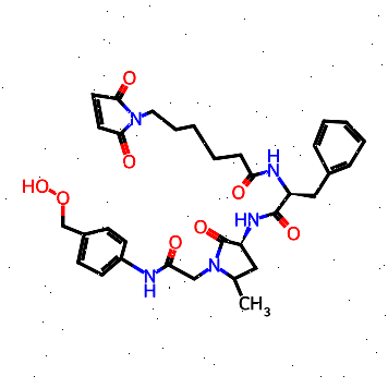 CC1C[C@H](NC(=O)[C@H](Cc2ccccc2)NC(=O)CCCCCN2C(=O)C=CC2=O)C(=O)N1CC(=O)Nc1ccc(COO)cc1